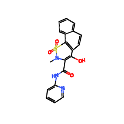 CN1C(C(=O)Nc2ccccn2)=C(O)c2ccc3ccccc3c2S1(=O)=O